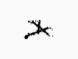 CCCCCCCCC(CCCCCC)C(=O)OCCN(CCOC(=O)C(CCCCCC)CCCCCCCC)C(=O)OCCSSCCNC(=O)CCN1CCOCC1